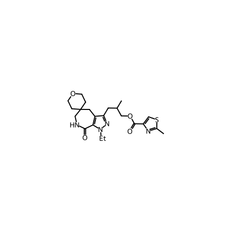 CCn1nc(CC(C)COC(=O)c2csc(C)n2)c2c1C(=O)NCC1(CCOCC1)C2